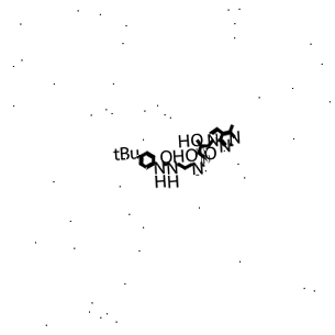 Cc1ncnc2c1ccn2C1O[C@H](CN(C)CCCNC(=O)Nc2ccc(C(C)(C)C)cc2)[C@@H](O)C1O